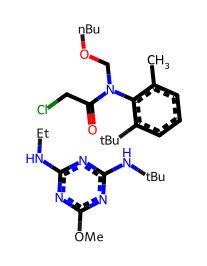 CCCCOCN(C(=O)CCl)c1c(C)cccc1C(C)(C)C.CCNc1nc(NC(C)(C)C)nc(OC)n1